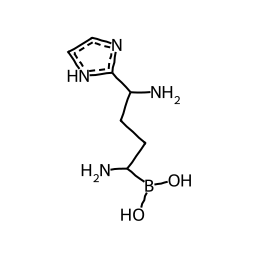 NC(CCC(N)c1ncc[nH]1)B(O)O